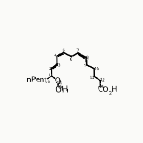 CCCCC[C@@H](/C=C/C=C\C/C=C\CCCCC(=O)O)OO